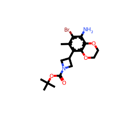 Cc1c(Br)c(N)c2c(c1C1CN(C(=O)OC(C)(C)C)C1)OCCO2